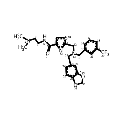 CN(C)CCNC(=O)c1csc(CN(Cc2cccc(C(F)(F)F)c2)Cc2ccc3c(c2)OCO3)n1